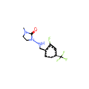 CN1CCN(NCc2ccc(C(F)(F)F)cc2F)C1=O